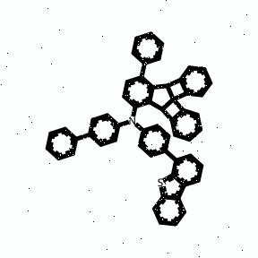 c1ccc(-c2ccc(N(c3ccc(-c4cccc5c4sc4ccccc45)cc3)c3ccc(-c4ccccc4)c4c3C3c5ccccc5C35c3ccccc3C45)cc2)cc1